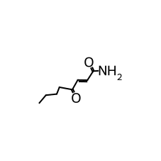 CCCCC(=O)/C=C/C(N)=O